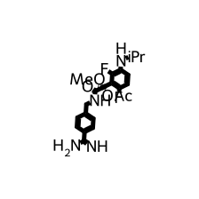 CO[C@@](OC(C)=O)(C(=O)NCc1ccc(C(=N)N)cc1)c1c(F)ccc(NC(C)C)c1F